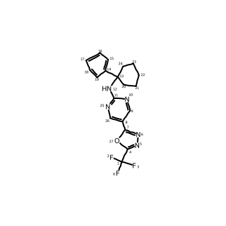 FC(F)(F)c1nnc(-c2cnc(NC3(c4ccccc4)CCCCC3)nc2)o1